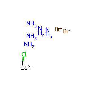 N.N.N.N.N.[Br-].[Br-].[Cl][Co+2]